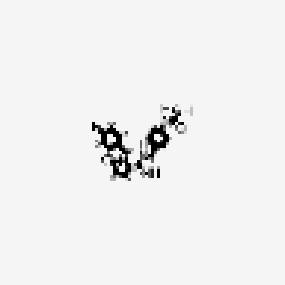 N=C(NCc1ccc(NC(=O)O)cc1)[C@@H]1CCC(=O)N1Cc1ccc(F)cc1